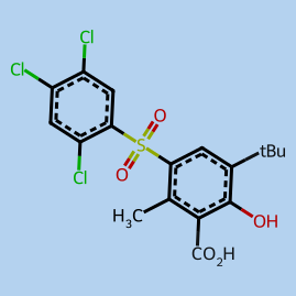 Cc1c(S(=O)(=O)c2cc(Cl)c(Cl)cc2Cl)cc(C(C)(C)C)c(O)c1C(=O)O